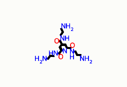 NCCCNC(=O)c1cc(C(=O)NCCCN)nc(C(=O)NCCCN)c1